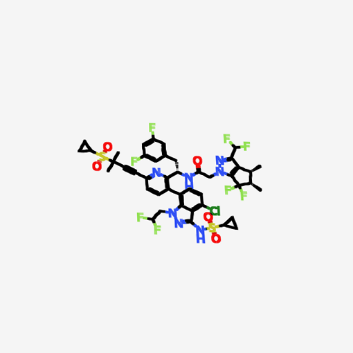 C[C@@H]1c2c(C(F)F)nn(CC(=O)N[C@@H](Cc3cc(F)cc(F)c3)c3nc(C#CC(C)(C)S(=O)(=O)C4CC4)ccc3-c3ccc(Cl)c4c(NS(=O)(=O)C5CC5)nn(CC(F)F)c34)c2C(F)(F)[C@@H]1C